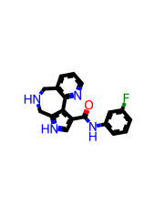 O=C(Nc1cccc(F)c1)c1c[nH]c2c1-c1ncccc1CNC2